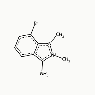 Cn1c2c(Br)cccc2c(N)[n+]1C